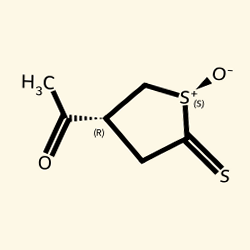 CC(=O)[C@H]1CC(=S)[S@+]([O-])C1